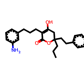 CCCC1(CCc2ccccc2)CC(O)=C(CCCc2cccc(N)c2)C(=O)O1